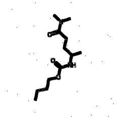 CCCCOC(=O)NC(C)CCC(=O)N(C)C